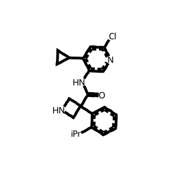 CC(C)c1ccccc1C1(C(=O)Nc2cnc(Cl)cc2C2CC2)CNC1